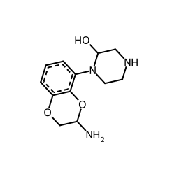 NC1COc2cccc(N3CCNCC3O)c2O1